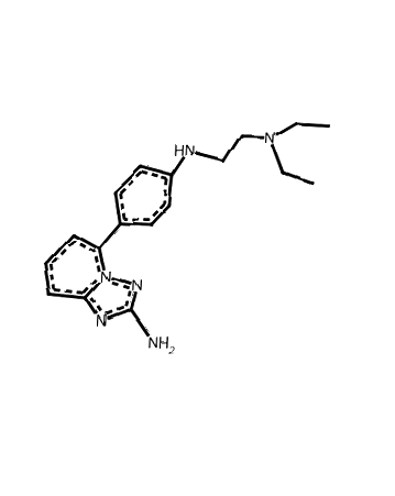 CCN(CC)CCNc1ccc(-c2cccc3nc(N)nn23)cc1